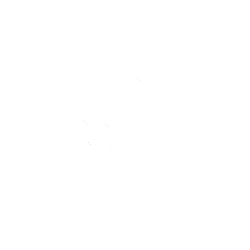 c1ccc(-c2nc(-c3ccccc3)nc(-n3c(-c4ccc(-n5c6ccccc6c6ccccc65)cc4)cc4ccccc43)n2)cc1